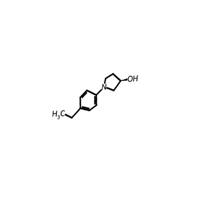 CCc1ccc(N2CC[C@@H](O)C2)cc1